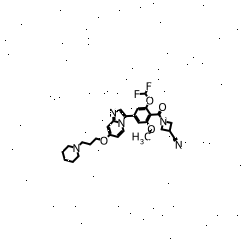 COc1cc(-c2cnc3cc(OCCCN4CCCCC4)ccn23)cc(OC(F)F)c1C(=O)N1CC(C#N)C1